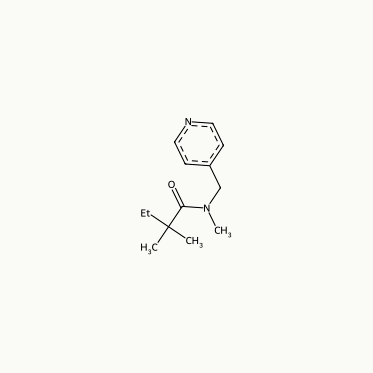 CCC(C)(C)C(=O)N(C)Cc1ccncc1